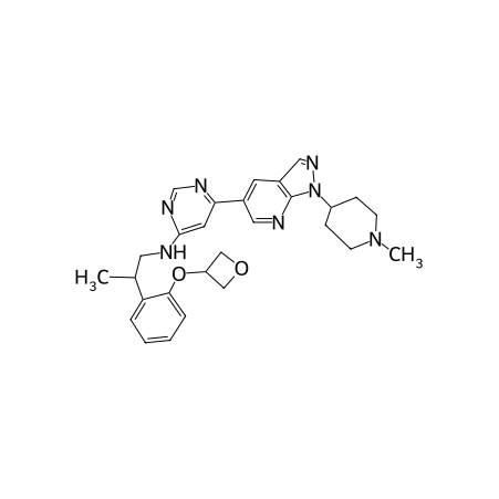 CC(CNc1cc(-c2cnc3c(cnn3C3CCN(C)CC3)c2)ncn1)c1ccccc1OC1COC1